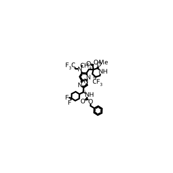 COC(=O)C1(Cc2nn3cc([C@@H](NC(=O)OCc4ccccc4)C4CCC(F)(F)CC4)nc3cc2N(C)CC(F)(F)F)C[C@@H](C(F)(F)F)CNC1=O